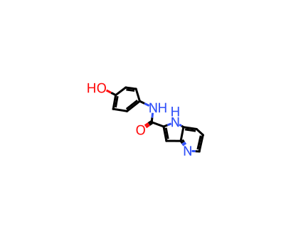 O=C(Nc1ccc(O)cc1)c1cc2ncccc2[nH]1